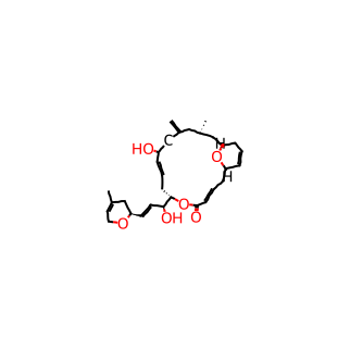 C=C1CC(O)/C=C/C[C@@H]([C@@H](O)/C=C/[C@@H]2CC(C)=CCO2)OC(=O)/C=C/C[C@@H]2C=CC[C@@H](C[C@@H](C)C1)O2